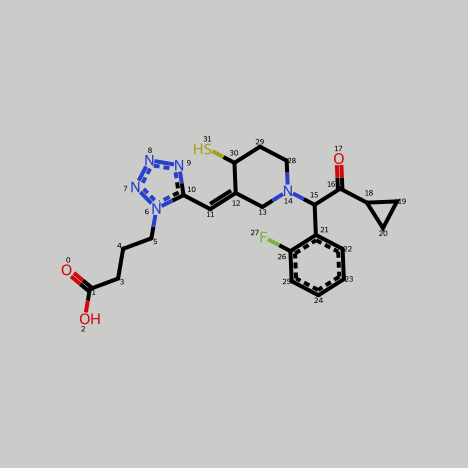 O=C(O)CCCn1nnnc1/C=C1/CN(C(C(=O)C2CC2)c2ccccc2F)CCC1S